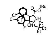 CCC(CC)(CC)C[C@@H]1N[C@@H](C(=O)OC(C)(C)C)[C@H](c2cccc(Cl)c2F)[C@@]1(C#N)c1ccc(Cl)cc1F